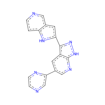 c1cnc(-c2cnc3[nH]nc(-c4cc5cnccc5[nH]4)c3c2)cn1